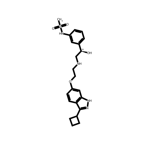 CS(=O)(=O)Nc1cccc([C@@H](O)CNCCOc2ccc3c(C4CCC4)n[nH]c3c2)c1